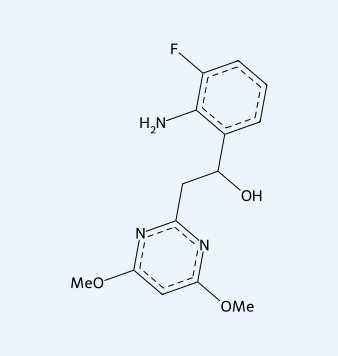 COc1cc(OC)nc(CC(O)c2cccc(F)c2N)n1